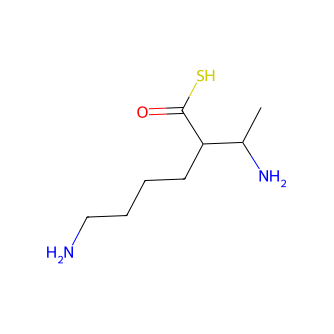 CC(N)C(CCCCN)C(=O)S